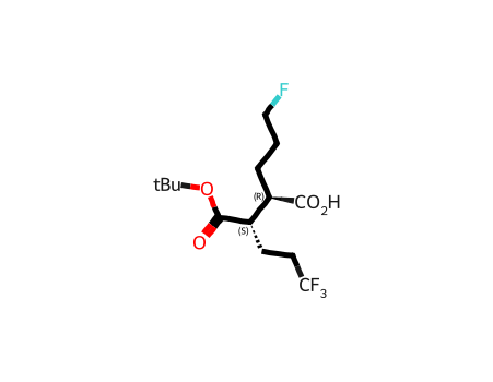 CC(C)(C)OC(=O)[C@@H](CCC(F)(F)F)[C@@H](CCCF)C(=O)O